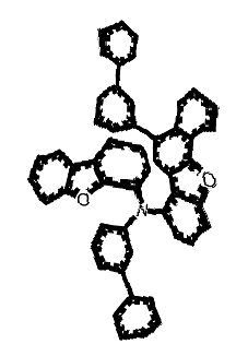 c1ccc(-c2cccc(-c3cc4c(oc5cccc(N(c6cccc(-c7ccccc7)c6)c6cccc7c6oc6ccccc67)c54)c4ccccc34)c2)cc1